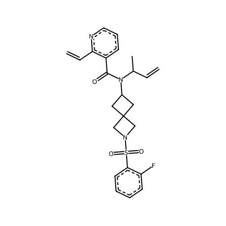 C=Cc1ncccc1C(=O)N(C(C)C=C)C1CC2(C1)CN(S(=O)(=O)c1ccccc1F)C2